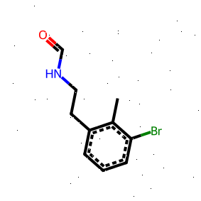 Cc1c(Br)cccc1CCNC=O